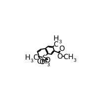 COC(=O)c1cc2c(cc1C)C=CC(C)(C)S2(=O)=O